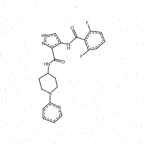 O=C(NC1CCN(c2ccccn2)CC1)c1n[nH]cc1NC(=O)c1c(F)cccc1F